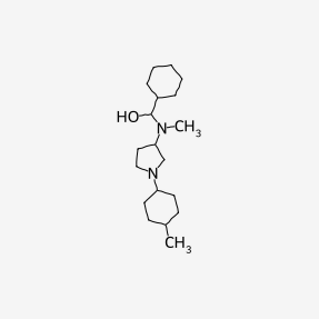 CC1CCC(N2CCC(N(C)C(O)C3CCCCC3)C2)CC1